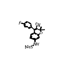 CSNc1ccc2c(c1)OC(C)(C)C(C#N)=C2c1ccc(F)cc1